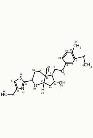 CCc1cc(OC[C@@H]2[C@H]3CC[C@H](c4nc(CO)cs4)O[C@H]3C[C@H]2O)ccc1C